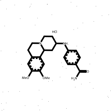 COc1cc2c(cc1OC)C1CC(Nc3ccc(C(N)=O)cc3)CCN1CC2.Cl